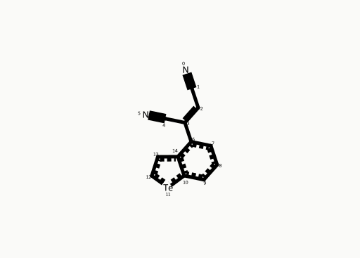 N#C/C=C(\C#N)c1cccc2[te]ccc12